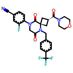 N#Cc1ccc(N2CC(=O)N(Cc3ccc(C(F)(F)F)cc3)[C@]3(C[C@@H](C(=O)N4CCOCC4)C3)C2=O)c(F)c1